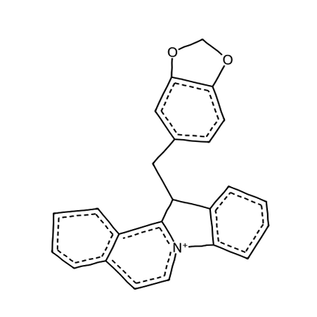 c1ccc2c(c1)C(Cc1ccc3c(c1)OCO3)c1c3ccccc3cc[n+]1-2